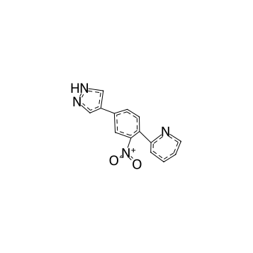 O=[N+]([O-])c1cc(-c2cn[nH]c2)ccc1-c1ccccn1